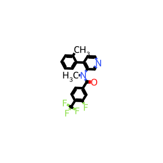 Cc1ccccc1-c1ccncc1N(C)C(=O)c1ccc(C(F)(F)F)c(F)c1